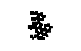 CCCCC(C)[C@@H](OC(=O)[C@H](C)NC(=O)c1nccc(OC)c1O)[C@H](C)Oc1ccccc1